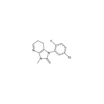 C=C1N(C)C2=C(CCC=N2)N1c1cc(CC)ccc1F